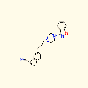 N#CC1=CCc2ccc(CCCN3CCN(c4noc5ccccc45)CC3)cc21